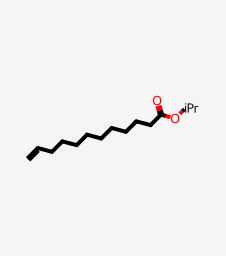 C=CCCCCCCCCCC(=O)OC(C)C